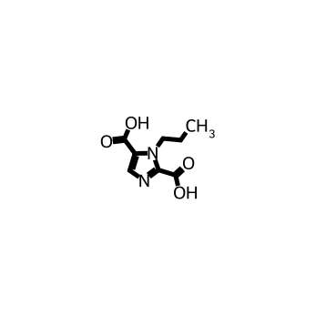 CCCn1c(C(=O)O)cnc1C(=O)O